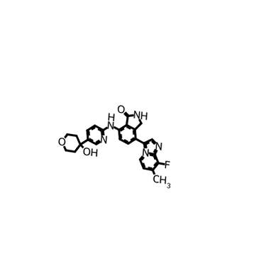 Cc1ccn2c(-c3ccc(Nc4ccc(C5(O)CCOCC5)cn4)c4c3CNC4=O)cnc2c1F